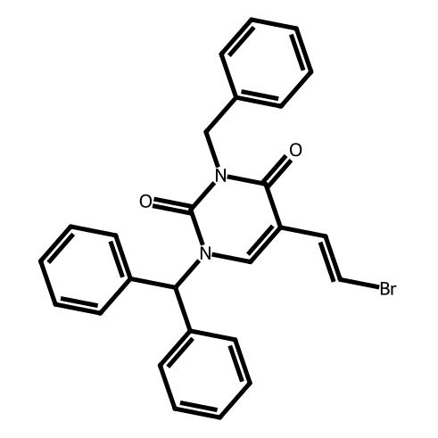 O=c1c(C=CBr)cn(C(c2ccccc2)c2ccccc2)c(=O)n1Cc1ccccc1